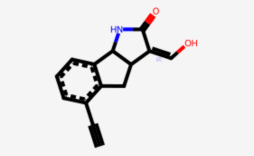 C#Cc1cccc2c1CC1/C(=C/O)C(=O)NC21